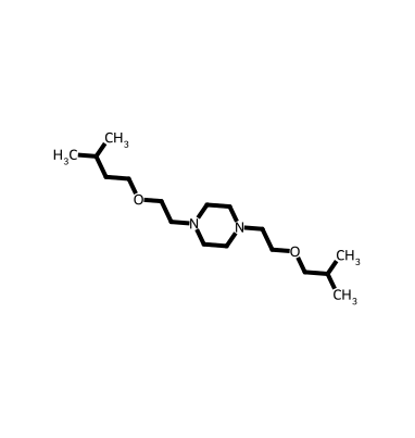 CC(C)CCOCCN1CCN(CCOCC(C)C)CC1